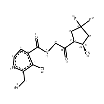 CC(C)Cc1nccc(C(=O)NCC(=O)N2CC(F)(F)C[C@H]2C#N)c1Cl